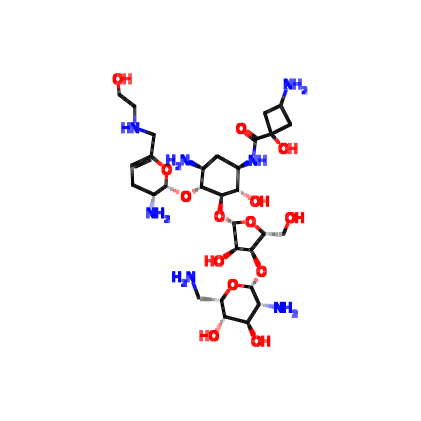 NC[C@@H]1O[C@H](O[C@H]2[C@@H](O)[C@H](O[C@@H]3[C@@H](O)[C@H](NC(=O)C4(O)CC(N)C4)C[C@H](N)[C@H]3O[C@H]3OC(CNCCO)=CC[C@H]3N)O[C@@H]2CO)[C@H](N)[C@@H](O)[C@@H]1O